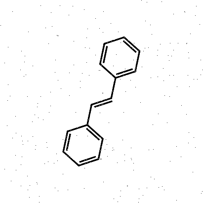 [c]1cccc(C=Cc2ccccc2)c1